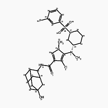 CN(c1c(Cl)c(C(=O)NC2C3CC4CC2CC(O)(C4)C3)nn1C)[C@H]1CCCN(S(=O)(=O)c2cccc(F)c2)C1